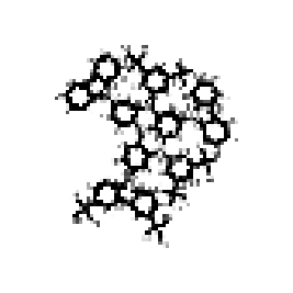 CC(C)(C)c1cc(N2c3cc(-n4c5ccccc5c5ccccc54)ccc3B3c4ccc(-n5c6ccc(C(C)(C)C)cc6c6cc(C(C)(C)C)ccc65)cc4N(c4cc(C(C)(C)C)cc(C(C)(C)C)c4)c4cc(-n5c6ccccc6c6ccccc65)cc2c43)cc(C(C)(C)C)c1